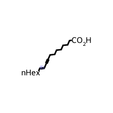 CCCCCC/C=C/C#CCCCCCCCC(=O)O